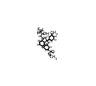 COC(=O)c1cccc(CC2(c3cccc(C)c3)CN(C[C@@H](O)C(F)(F)F)c3ccccc32)c1